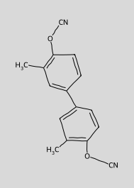 Cc1cc(-c2ccc(OC#N)c(C)c2)ccc1OC#N